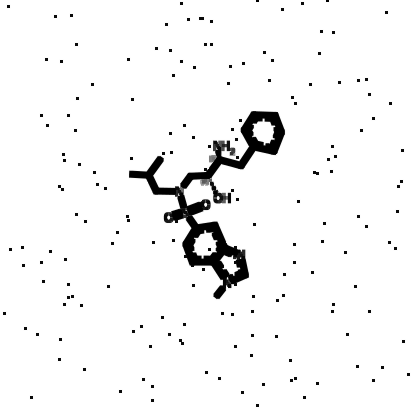 CC(C)CN(C[C@@H](O)[C@@H](N)Cc1ccccc1)S(=O)(=O)c1ccc2c(c1)ncn2C